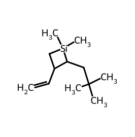 C=CC1C[Si](C)(C)C1CC(C)(C)C